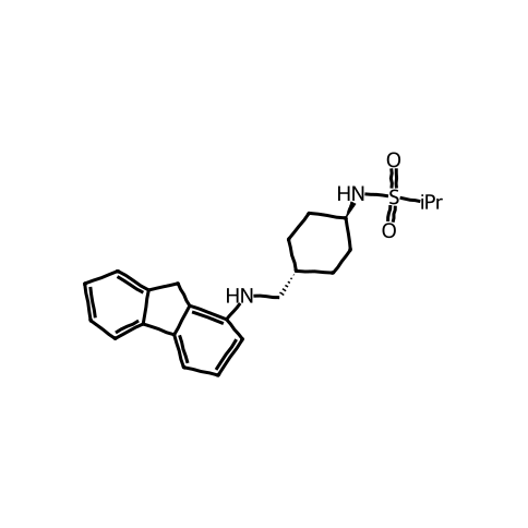 CC(C)S(=O)(=O)N[C@H]1CC[C@H](CNc2cccc3c2Cc2ccccc2-3)CC1